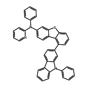 c1ccc(N(c2ccc3c(c2)sc2cccc(-c4ccc5c6ccccc6n(-c6ccccc6)c5c4)c23)c2ccccn2)cc1